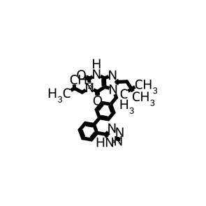 CC(C)Cn1c(=O)[nH]c2nc(CC(C)(C)C)n(Cc3ccc(-c4ccccc4-c4nnn[nH]4)cc3)c2c1=O